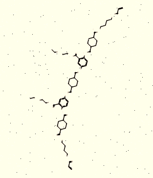 C=CC(=O)OCCCCOC(=O)C1CCC(C(=O)Oc2ccc(OC(=O)C3CCC(C(=O)Oc4ccc(OC(=O)C5CCC(C(=O)OCCCCOC(=O)C=C)CC5)c(C(=O)OCCOCC)c4)CC3)cc2C(=O)OCCOCC)CC1